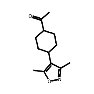 CC(=O)C1CCC(c2c(C)noc2C)CC1